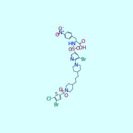 O=C(O)C(Cc1ccc([N+](=O)[O-])cc1)NS(=O)(=O)c1cnc(N2CCC(CCCC3CCN(S(=O)(=O)c4cc(Br)c(Cl)s4)CC3)CC2)c(Br)c1